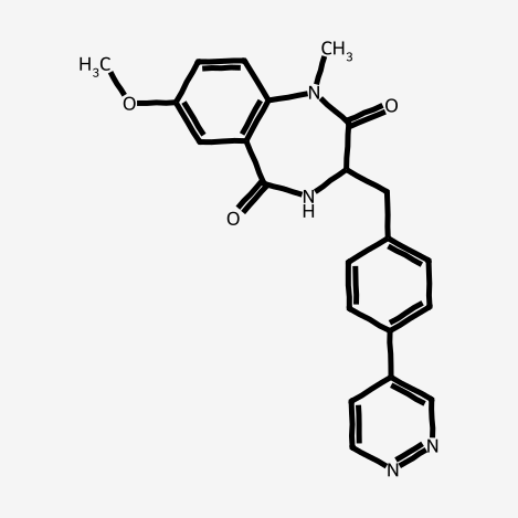 COc1ccc2c(c1)C(=O)NC(Cc1ccc(-c3ccnnc3)cc1)C(=O)N2C